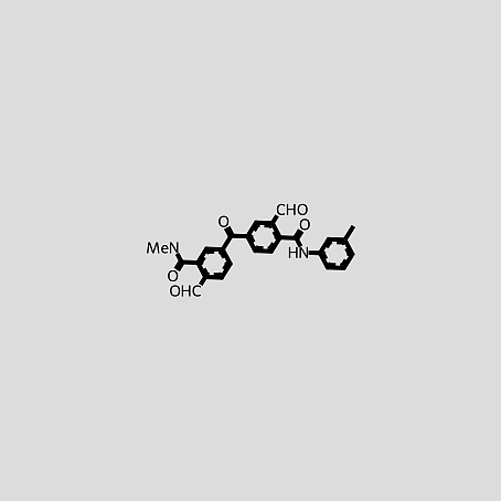 CNC(=O)c1cc(C(=O)c2ccc(C(=O)Nc3cccc(C)c3)c(C=O)c2)ccc1C=O